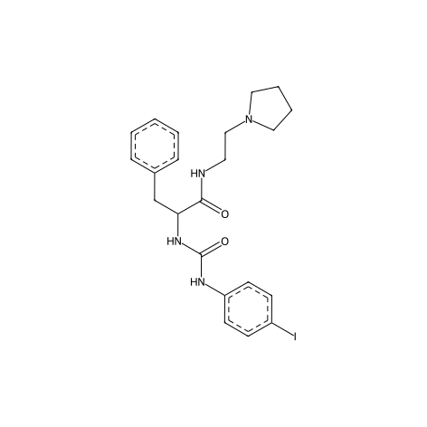 O=C(Nc1ccc(I)cc1)NC(Cc1ccccc1)C(=O)NCCN1CCCC1